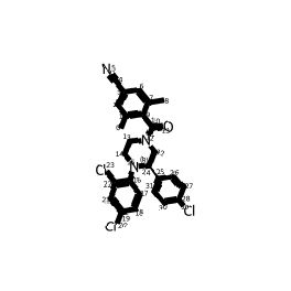 Cc1cc(C#N)cc(C)c1C(=O)N1CCN(c2ccc(Cl)cc2Cl)[C@H](c2ccc(Cl)cc2)C1